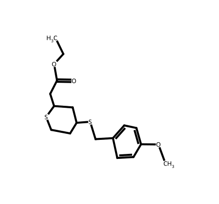 CCOC(=O)CC1CC(SCc2ccc(OC)cc2)CCS1